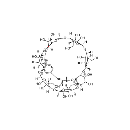 O=C1NC[C@H]2O[C@@H]3O[C@H]4C(O)C(O)[C@H](O[C@@H]4CO)O[C@H]4C(O)C(O)[C@H](O[C@@H]4CO)O[C@H]4C(O)C(O)[C@H](O[C@@H]4CNC(=O)Nc4ccc(cc4)N1)O[C@H]1C(O)C(O)[C@H](O[C@@H]1CO)O[C@H]1C(O)C(O)[C@H](O[C@@H]1CO)O[C@H]1C(O)C(O)[C@H](O[C@@H]1CO)O[C@H]2C(O)C3O